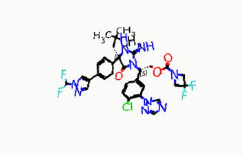 CC(C)(C)C[C@]1(C2C=CC(c3cnn(C(F)F)c3)=CC2)NC(=N)N([C@H](COC(=O)N2CC(F)(F)C2)c2ccc(Cl)c(-n3cncn3)c2)C1=O